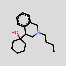 CCCCN1Cc2ccccc2C(C2(O)CCCCC2)C1